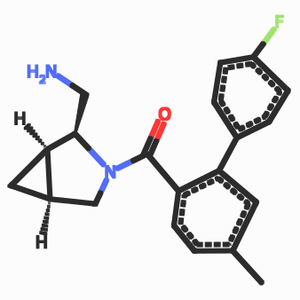 Cc1ccc(C(=O)N2C[C@H]3C[C@H]3[C@H]2CN)c(-c2ccc(F)cc2)c1